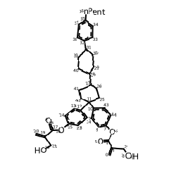 C=C(CO)C(=O)Oc1ccc(C2(c3ccc(OC(=O)C(=C)CO)cc3)CCC(C3CCC(c4ccc(CCCCC)cc4)CC3)CC2)cc1